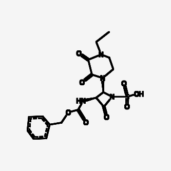 CCN1CCN([C@@H]2[C@H](NC(=O)OCc3ccccc3)C(=O)N2S(=O)(=O)O)C(=O)C1=O